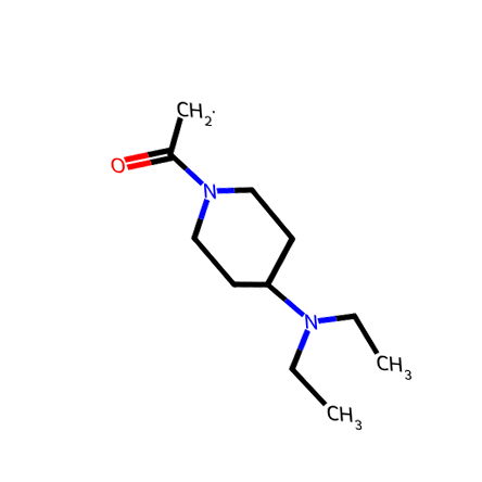 [CH2]C(=O)N1CCC(N(CC)CC)CC1